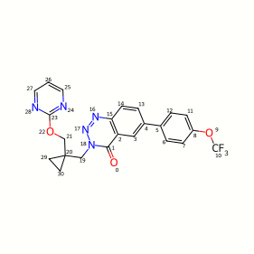 O=c1c2cc(-c3ccc(OC(F)(F)F)cc3)ccc2nnn1CC1(COc2ncccn2)CC1